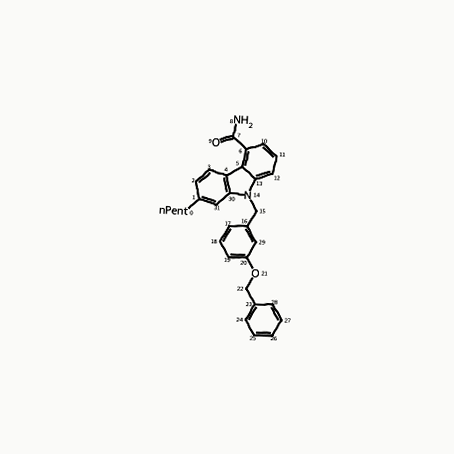 CCCCCc1c[c]c2c3c(C(N)=O)cccc3n(Cc3cccc(OCc4ccccc4)c3)c2c1